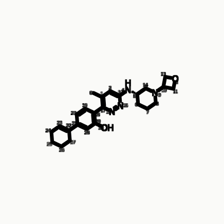 Cc1cc(N[C@H]2CCCN(C3COC3)C2)nnc1-c1ccc(C2=CCCCC2)cc1O